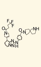 O=C(CCC(F)(F)F)N1CC=C(c2cccn3nc(Nc4ccc(C(=O)N5CCC6(CCCNC6)CC5)cc4)nc23)CC1